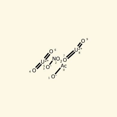 CC(=O)[O-].O=[N+]([O-])[O-].[O]=[U+2]=[O].[O]=[U+2]=[O]